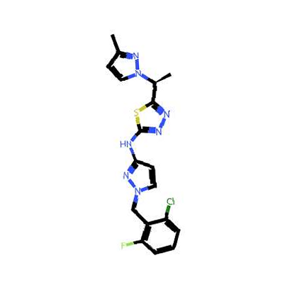 Cc1ccn([C@@H](C)c2nnc(Nc3ccn(Cc4c(F)cccc4Cl)n3)s2)n1